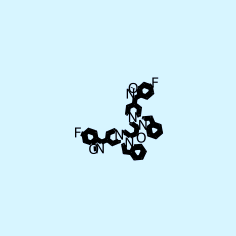 O=C(C(CN1CCC(c2noc3cc(F)ccc23)CC1)N1CCc2ccccc21)C(CN1CCC(c2noc3cc(F)ccc23)CC1)N1CCc2ccccc21